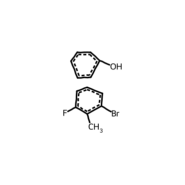 Cc1c(F)cccc1Br.Oc1ccccc1